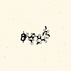 CCOP(=O)(CC[C@H]1O[C@@H](n2cnc3c(NC45CC6C[C@@](C)(C4)C[C@](C)(C6)C5)nc(Cl)nc32)[C@H](OC(C)=O)[C@@H]1CC(=O)O)OCC